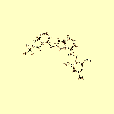 Cc1cc(N)nc(C)c1CNc1ncnc2nn(Cc3cccn4cc(C(F)(F)F)nc34)cc12